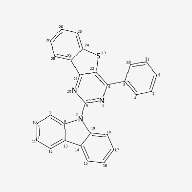 c1ccc(-c2nc(-n3c4ccccc4c4ccccc43)nc3c2sc2ccccc23)cc1